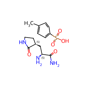 Cc1ccc(S(=O)(=O)O)cc1.NC(=O)[C@@H](N)C[C@@H]1CCNC1=O